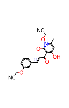 Cc1cc(O)c(C(=O)/C=C/c2cccc(OCC#N)c2)c(=O)n1OCC#N